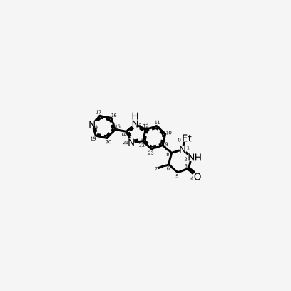 CCN1NC(=O)CC(C)C1c1ccc2[nH]c(-c3ccncc3)nc2c1